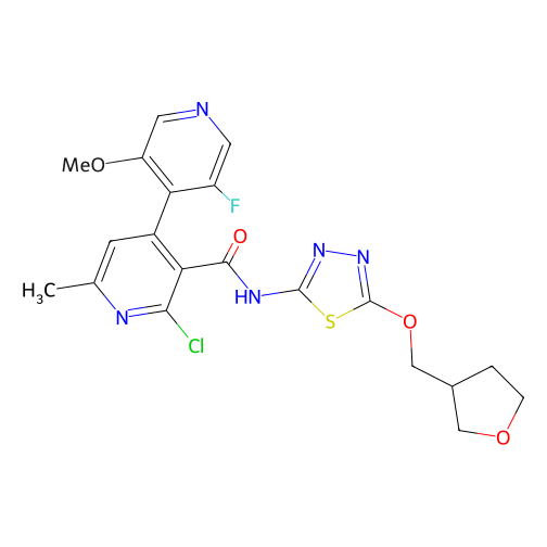 COc1cncc(F)c1-c1cc(C)nc(Cl)c1C(=O)Nc1nnc(OCC2CCOC2)s1